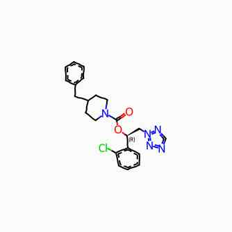 O=C(O[C@@H](Cn1ncnn1)c1ccccc1Cl)N1CCC(Cc2ccccc2)CC1